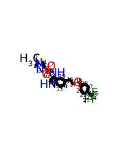 Cn1cnc(S(=O)(=O)Nc2c[nH]c3ccc(CCOc4ccc(C(F)(F)F)cc4)cc23)c1